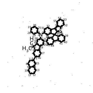 CC1(C)c2cc(-c3ccc4ccccc4c3)ccc2-c2ccc(N(c3ccccc3)c3ccc4c(c3)C3(c5ccccc5-c5ccccc53)c3sc5ccccc5c3-4)cc21